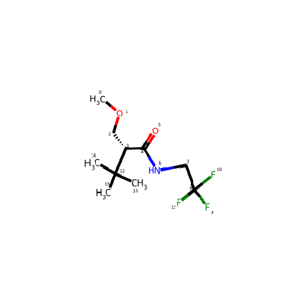 COC[C@H](C(=O)NCC(F)(F)F)C(C)(C)C